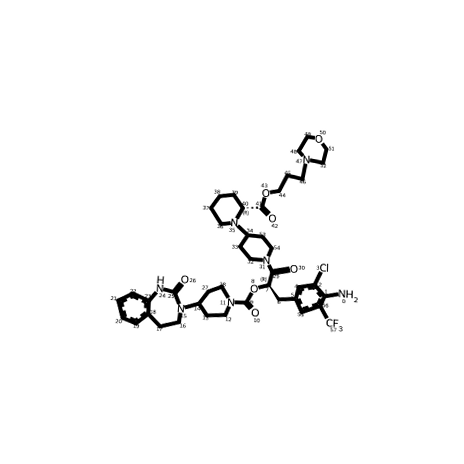 Nc1c(Cl)cc(C[C@@H](OC(=O)N2CCC(N3CCc4ccccc4NC3=O)CC2)C(=O)N2CCC(N3CCCC[C@@H]3C(=O)OCCCN3CCOCC3)CC2)cc1C(F)(F)F